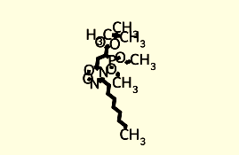 CCCCCCCCC1=NOOC(CC(C(=O)OC(C)(C)C)P(OCC)OCC)=N1